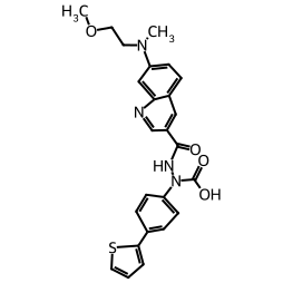 COCCN(C)c1ccc2cc(C(=O)NN(C(=O)O)c3ccc(-c4cccs4)cc3)cnc2c1